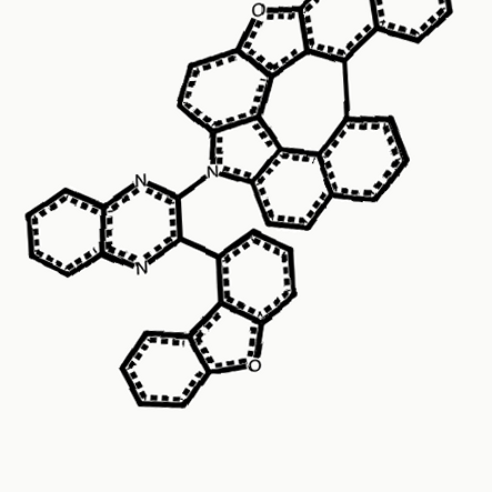 c1ccc2c3c4c(cc2c1)oc1ccc2c(c14)c1c4c-3cccc4ccc1n2-c1nc2ccccc2nc1-c1cccc2oc3ccccc3c12